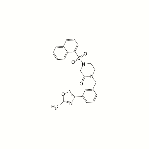 Cc1nc(-c2cccc(CN3CCN(S(=O)(=O)c4cccc5ccccc45)CC3=O)c2)no1